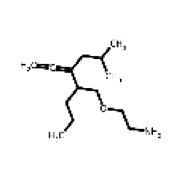 C=C=C(CC(C)C)C(CCC)COCCN